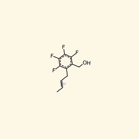 C/C=C/Cc1c(F)c(F)c(F)c(F)c1CO